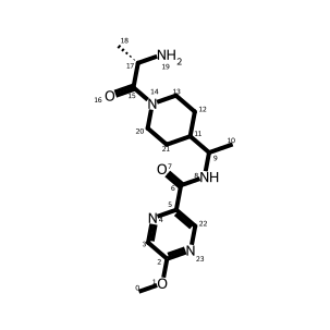 COc1cnc(C(=O)NC(C)C2CCN(C(=O)[C@H](C)N)CC2)cn1